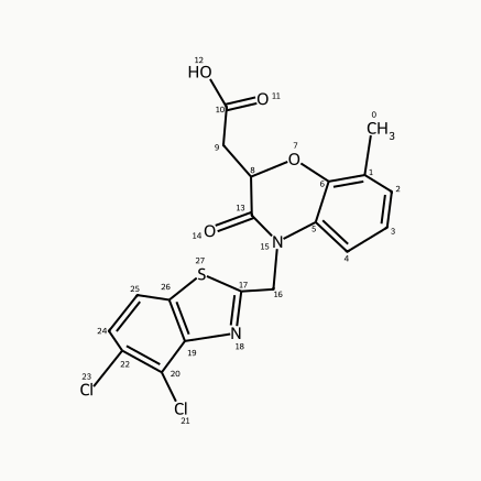 Cc1cccc2c1OC(CC(=O)O)C(=O)N2Cc1nc2c(Cl)c(Cl)ccc2s1